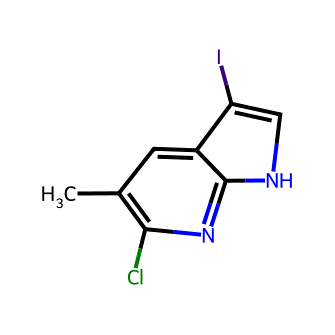 Cc1cc2c(I)c[nH]c2nc1Cl